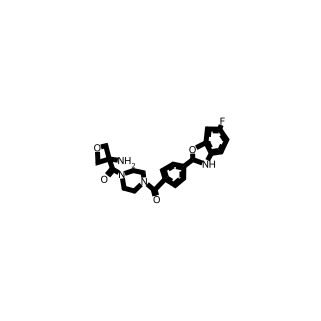 NC1(C(=O)N2CCN(C(=O)c3ccc(C4Nc5ccc(F)cc5O4)cc3)CC2)COC1